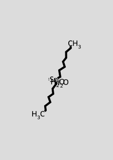 CCCCCCC[CH2][Sn][CH2]CCCCCCC.O.O